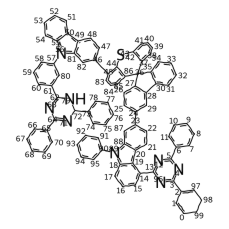 C1=CC(c2nc(-c3ccccc3)nc(-c3cccc4c3c3ccc(-c5ccc6c(c5)-c5ccccc5C65c6ccccc6Sc6c(-c7ccc8c9ccccc9n(-c9cccc(C%10=NC(c%11ccccc%11)=NC(c%11ccccc%11)N%10)c9)c8c7)cccc65)cc3n4-c3ccccc3)n2)=CCC1